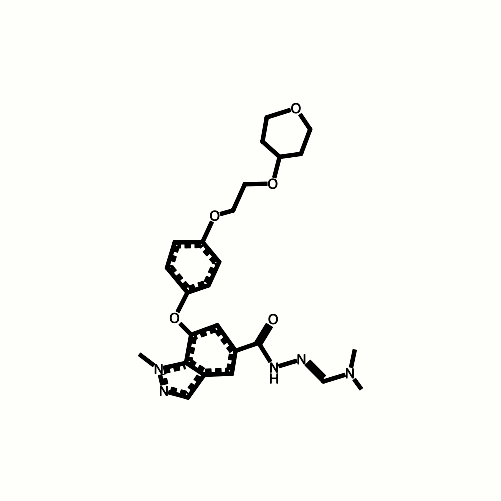 CN(C)C=NNC(=O)c1cc(Oc2ccc(OCCOC3CCOCC3)cc2)c2c(cnn2C)c1